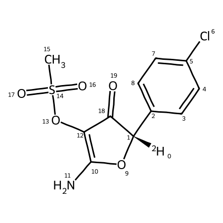 [2H][C@@]1(c2ccc(Cl)cc2)OC(N)=C(OS(C)(=O)=O)C1=O